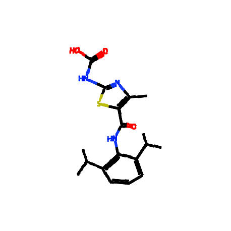 Cc1nc(NC(=O)O)sc1C(=O)Nc1c(C(C)C)cccc1C(C)C